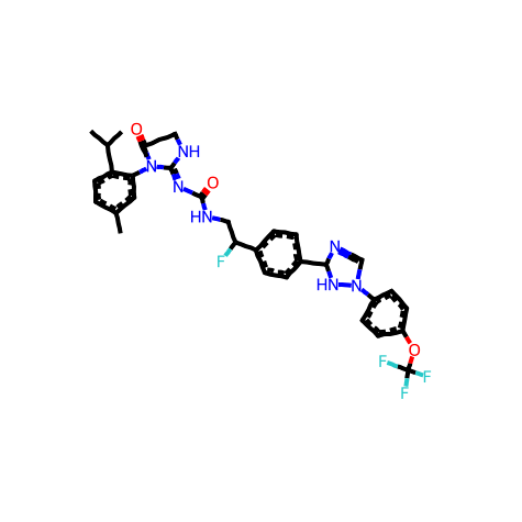 Cc1ccc(C(C)C)c(N2C(=O)CN/C2=N\C(=O)NCC(F)c2ccc(C3N=CN(c4ccc(OC(F)(F)F)cc4)N3)cc2)c1